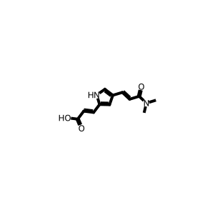 CN(C)C(=O)C=Cc1c[nH]c(C=CC(=O)O)c1